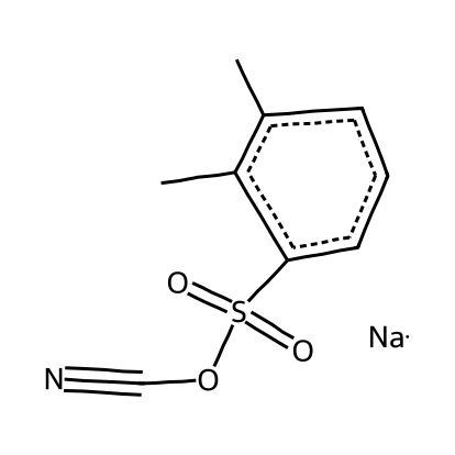 Cc1cccc(S(=O)(=O)OC#N)c1C.[Na]